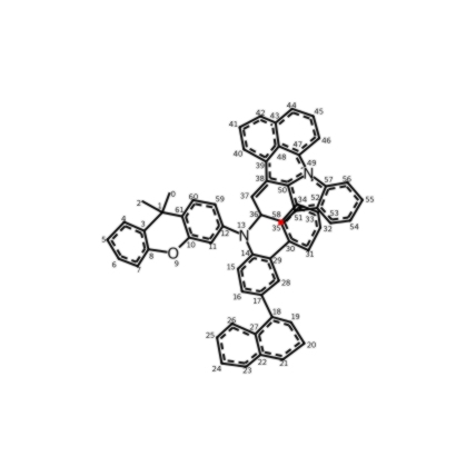 CC1(C)c2ccccc2Oc2cc(N(c3ccc(-c4cccc5ccccc45)cc3-c3ccccc3)C3C=c4c5cccc6cccc(c65)n5c4c(c4ccccc45)C3)ccc21